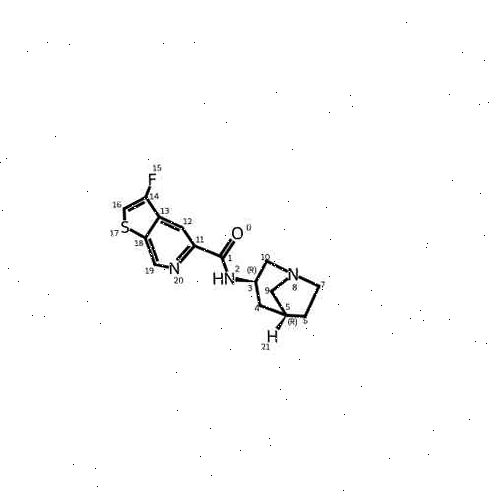 O=C(N[C@@H]1C[C@H]2CCN(C2)C1)c1cc2c(F)csc2cn1